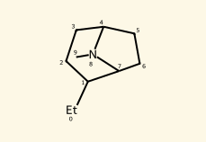 CCC1CCC2CCC1N2C